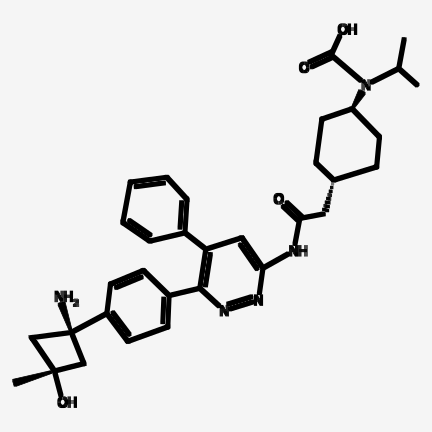 CC(C)N(C(=O)O)[C@H]1CC[C@H](CC(=O)Nc2cc(-c3ccccc3)c(-c3ccc([C@]4(N)C[C@](C)(O)C4)cc3)nn2)CC1